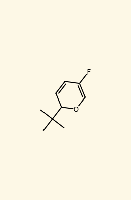 CC(C)(C)C1C=CC(F)=CO1